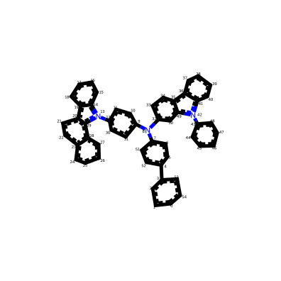 c1ccc(-c2ccc(N(c3ccc(-n4c5ccccc5c5ccc6ccccc6c54)cc3)c3ccc4c5ccccc5n(-c5ccccc5)c4c3)cc2)cc1